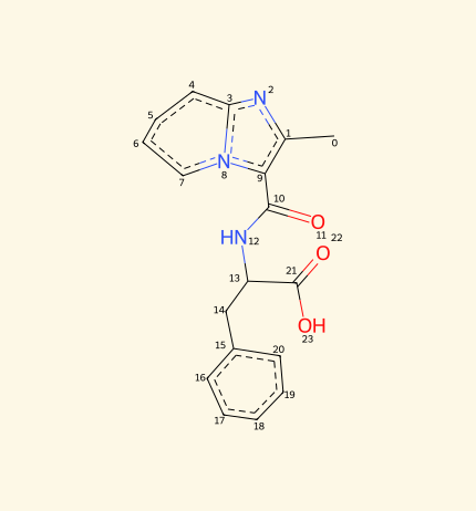 Cc1nc2ccccn2c1C(=O)NC(Cc1ccccc1)C(=O)O